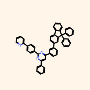 c1ccc(-c2cc(-c3cccc(-c4ccc5c(c4)C(c4ccccc4)(c4ccccc4)c4ccccc4-5)c3)nc(-c3ccc(-c4ccccn4)cc3)n2)cc1